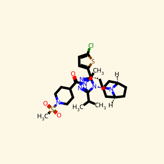 Cc1nnc(C(C)C)n1[C@@H]1C[C@H]2CC[C@@H](C1)N2CC[C@H](NC(=O)C1CCN(S(C)(=O)=O)CC1)c1ccc(Cl)s1